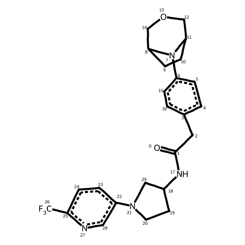 O=C(Cc1ccc(N2C3CCC2COC3)cc1)NC1CCN(c2ccc(C(F)(F)F)nc2)C1